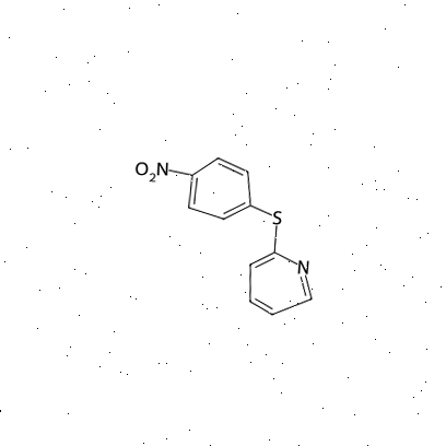 O=[N+]([O-])c1ccc(Sc2ccccn2)cc1